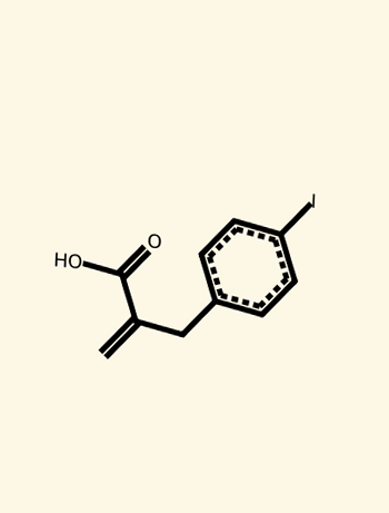 C=C(Cc1ccc(I)cc1)C(=O)O